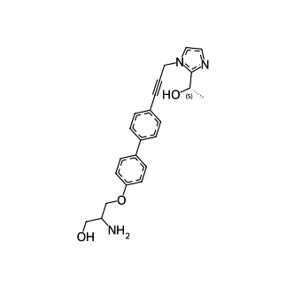 C[C@H](O)c1nccn1CC#Cc1ccc(-c2ccc(OCC(N)CO)cc2)cc1